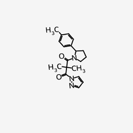 Cc1ccc(C2CCCN2C(=O)C(C)(C)C(=O)n2cccn2)cc1